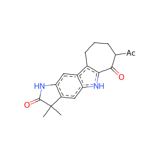 CC(=O)C1CCCc2c([nH]c3cc4c(cc23)NC(=O)C4(C)C)C1=O